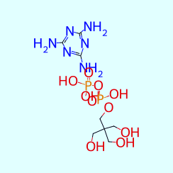 Nc1nc(N)nc(N)n1.O=P(O)(O)OP(=O)(O)OCC(CO)(CO)CO